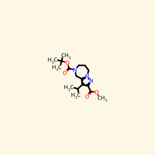 COC(=O)c1nn2c(c1C(C)C)CN(C(=O)OC(C)(C)C)CCC2